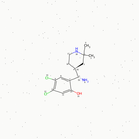 CC1(C)C[C@@H]([C@H](N)c2cc(Cl)c(Cl)cc2O)CCN1